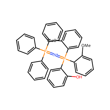 COc1ccccc1P(=[N+]=P(c1ccccc1)(c1ccccc1)c1ccccc1)(c1ccccc1O)c1ccccc1OC